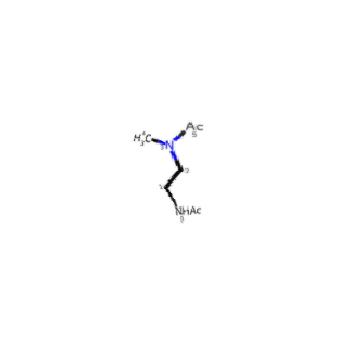 CC(=O)NCCN(C)C(C)=O